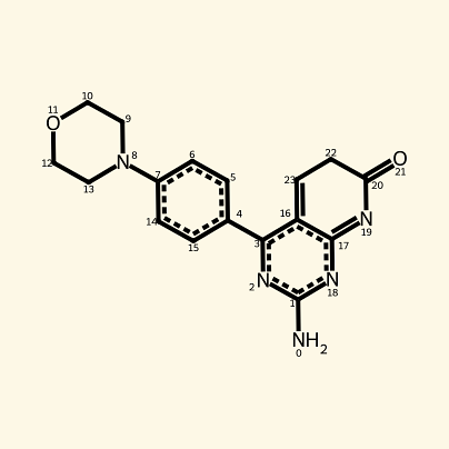 Nc1nc(-c2ccc(N3CCOCC3)cc2)c2c(n1)=NC(=O)CC=2